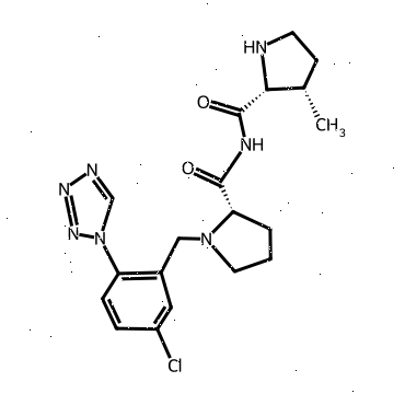 C[C@H]1CCN[C@H]1C(=O)NC(=O)[C@@H]1CCCN1Cc1cc(Cl)ccc1-n1cnnn1